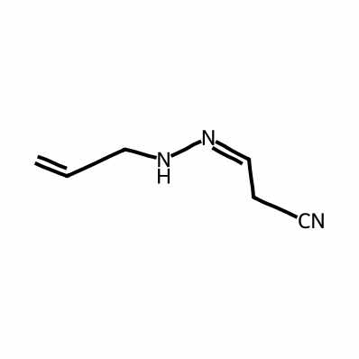 C=CCN/N=C\CC#N